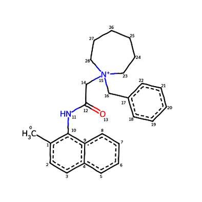 Cc1ccc2ccccc2c1NC(=O)C[N+]1(Cc2ccccc2)CCCCCC1